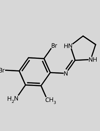 Cc1c(N)c(Br)cc(Br)c1N=C1NCCN1